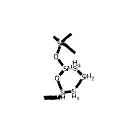 C=C[SiH]1O[SiH](O[Si](C)(C)C)[SiH2][SiH2][SiH2]1